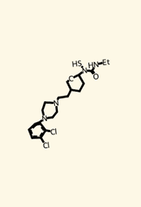 CCNC(=O)N(S)C1CCC(CCN2CCN(c3cccc(Cl)c3Cl)CC2)CC1